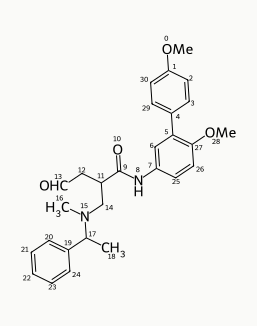 COc1ccc(-c2cc(NC(=O)C(CC=O)CN(C)C(C)c3ccccc3)ccc2OC)cc1